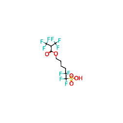 O=C(OCCCCC(F)(F)C(F)(F)S(=O)(=O)O)C(C(F)(F)F)C(F)(F)F